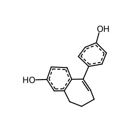 Oc1ccc(C2=CCCCc3cc(O)ccc32)cc1